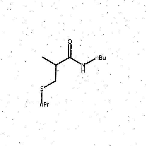 CCCCNC(=O)C(C)CSCCC